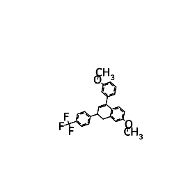 COc1cccc(C2=CC(c3ccc(C(F)(F)F)cc3)Cc3cc(OC)ccc32)c1